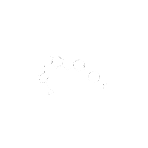 CC(=O)N1CCN(c2cccc(Nc3ncc(F)c(Nc4cc(C5CC5)[nH]n4)n3)c2)CC1